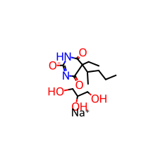 CCCC(C)C1(CC)C(=O)N=C([O-])NC1=O.OCC(O)CO.[Na+]